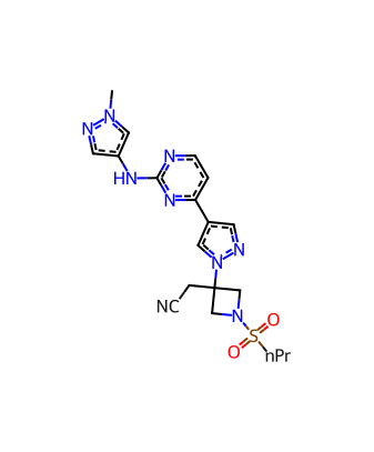 CCCS(=O)(=O)N1CC(CC#N)(n2cc(-c3ccnc(Nc4cnn(C)c4)n3)cn2)C1